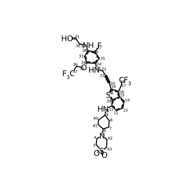 O=S1(=O)CCN(C2CCC(Nc3cccc4c(CC(F)(F)F)c(C#CCNc5cc(F)c(NCCO)cc5OCC(F)(F)F)sc34)CC2)CC1